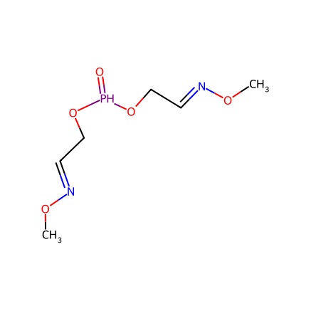 CON=CCO[PH](=O)OCC=NOC